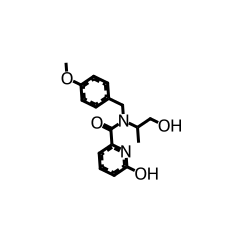 COc1ccc(CN(C(=O)c2cccc(O)n2)C(C)CO)cc1